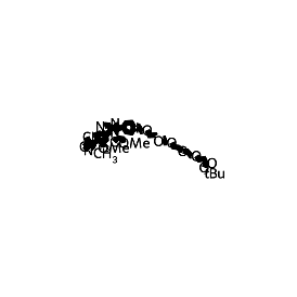 COCC(C)n1c(C2CCN(CCOCCOCCOCCOCCOCCC(=O)OC(C)(C)C)CC2)nc2cnc3cc(-c4c(C)noc4C)c(OC)cc3c21